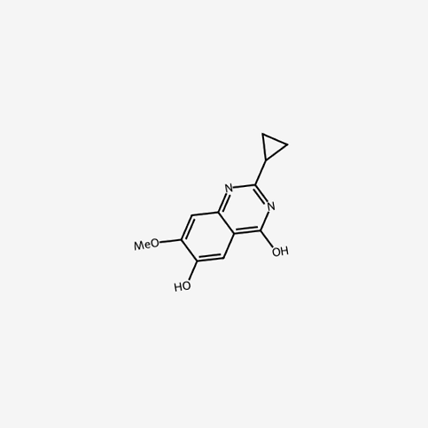 COc1cc2nc(C3CC3)nc(O)c2cc1O